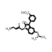 CCOC(=O)c1cccc(-c2c(C)n(C/C(F)=C/CN)c3ccc(SN(C)C)cc23)c1